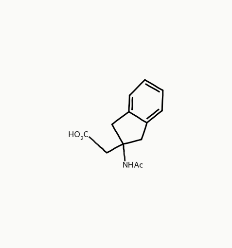 CC(=O)NC1(CC(=O)O)Cc2ccccc2C1